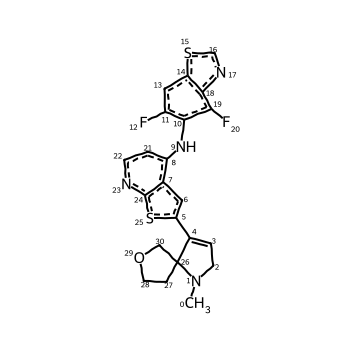 CN1CC=C(c2cc3c(Nc4c(F)cc5scnc5c4F)ccnc3s2)C12CCOC2